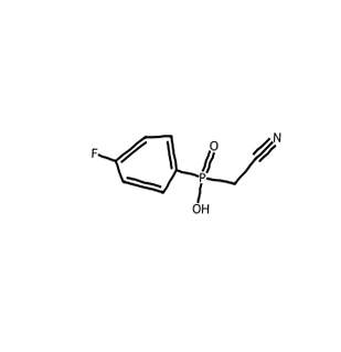 N#CCP(=O)(O)c1ccc(F)cc1